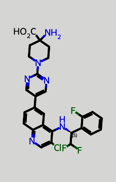 NC1(C(=O)O)CCN(c2ncc(-c3ccc4ncc(Cl)c(N[C@@H](c5ccccc5F)C(F)F)c4c3)cn2)CC1